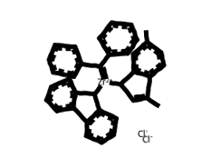 CC1=C[CH]([Zr+2](=[C](c2ccccc2)c2ccccc2)[CH]2c3ccccc3-c3ccccc32)c2cc(C)ccc21.[Cl-].[Cl-]